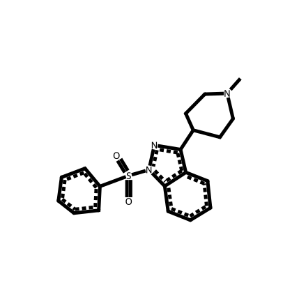 CN1CCC(c2nn(S(=O)(=O)c3ccccc3)c3ccccc23)CC1